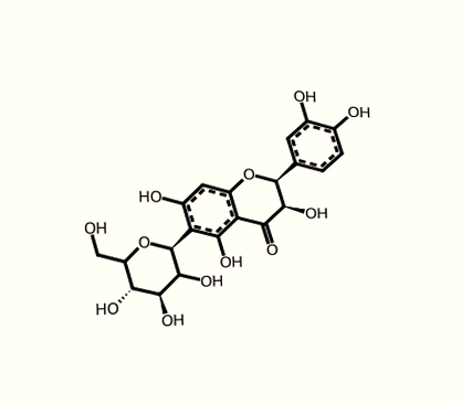 O=C1c2c(cc(O)c([C@@H]3OC(CO)[C@@H](O)[C@H](O)C3O)c2O)O[C@@H](c2ccc(O)c(O)c2)[C@H]1O